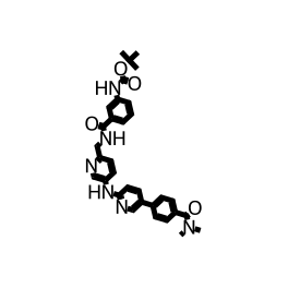 CN(C)C(=O)c1ccc(-c2ccc(Nc3ccc(CNC(=O)c4cccc(NC(=O)OC(C)(C)C)c4)nc3)nc2)cc1